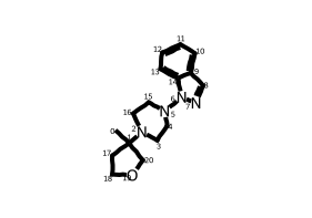 CC1(N2CCN(n3ncc4ccccc43)CC2)CCOC1